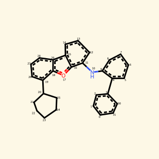 c1ccc(-c2ccccc2Nc2cccc3c2oc2c(C4CCCCC4)cccc23)cc1